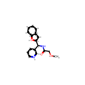 COCC(=O)NC(c1cccnc1)c1cc2ccccc2o1